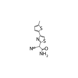 Cc1ccc(-c2csc(C(C#N)C(N)=O)n2)s1